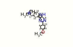 COc1ccc(-c2ncc3[nH]c4c(c3n2)CC(CN(C)C)CC4)cc1